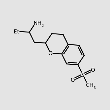 CCC(N)CC1CCc2ccc(S(C)(=O)=O)cc2O1